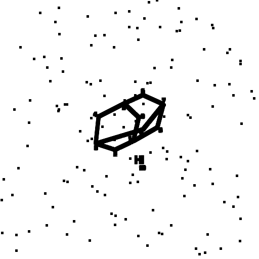 C1C2CC3CC1CC(C2)C3.I